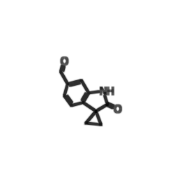 O=Cc1ccc2c(c1)NC(=O)C21CC1